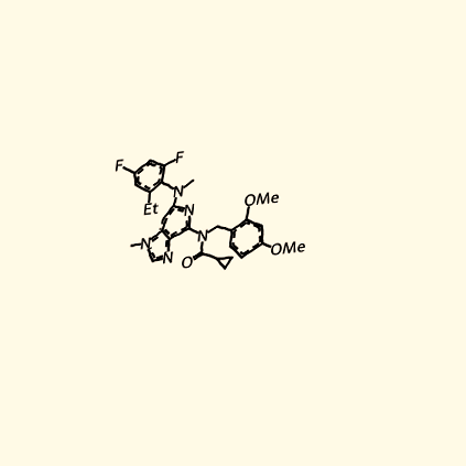 CCc1cc(F)cc(F)c1N(C)c1cc2c(ncn2C)c(N(Cc2ccc(OC)cc2OC)C(=O)C2CC2)n1